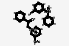 CC(=O)OC1C[N+]2(CC(=O)c3ccccc3)CCC1CC2.Fc1cccc(Nc2ccccc2)c1.[Br-]